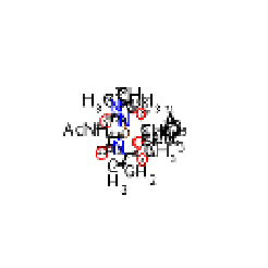 C=C(C)C(C(=O)O[Si](C)(C)C)N1C(=O)C(NC(C)=O)C1SN1C(=O)N(C)C(C)(C)C1=O.c1cc2cc-2c1